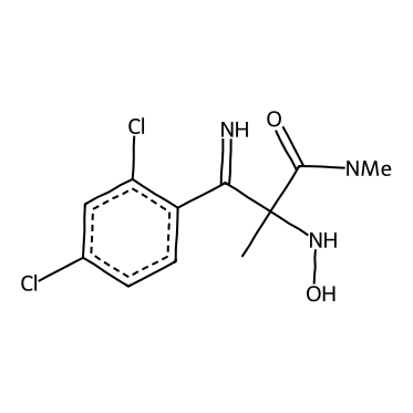 CNC(=O)C(C)(NO)C(=N)c1ccc(Cl)cc1Cl